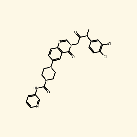 CN(C(=O)Cn1cnc2ccc(N3CCN(C(=O)Nc4cccnc4)CC3)cc2c1=O)c1ccc(Cl)c(Cl)c1